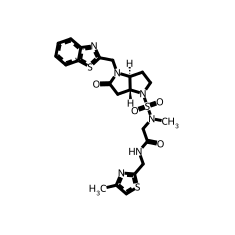 Cc1csc(CNC(=O)CN(C)S(=O)(=O)N2CC[C@H]3[C@H]2CC(=O)N3Cc2nc3ccccc3s2)n1